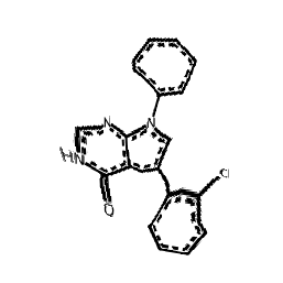 O=c1[nH]cnc2c1c(-c1ccccc1Cl)cn2-c1ccccc1